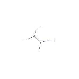 CC(=O)OC(C(C)C)C(N)C(C)=O